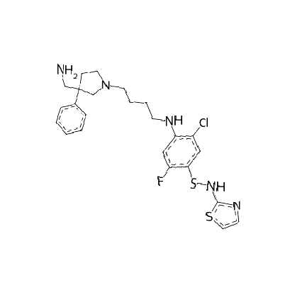 NCC1(c2ccccc2)CCN(CCCCNc2cc(F)c(SNc3nccs3)cc2Cl)C1